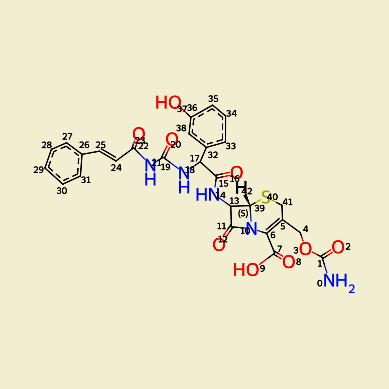 NC(=O)OCC1=C(C(=O)O)N2C(=O)C(NC(=O)C(NC(=O)NC(=O)C=Cc3ccccc3)c3cccc(O)c3)[C@@H]2SC1